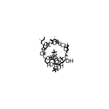 C=C1C2C[C@@H]3O[C@H](C[C@H](C)CC)[C@H](C)[C@H]3CC(=O)CC3CC[C@@H]4O[C@H]([C@@H](O[Si](C)(C)C(C)(C)C)[C@@H](O[Si](C)(C)C(C)(C)C)[C@H]4O3)[C@@H](O[Si](C)(C)C(C)(C)C)/C=C/C(O)CCC3CC(=C)[C@H](CC[C@@H](C[C@H]1C)O2)O3